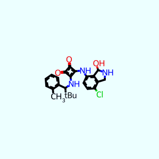 Cc1ccccc1C(Nc1c(Nc2ccc(Cl)c3c2C(O)NC3)c(=O)c1=O)C(C)(C)C